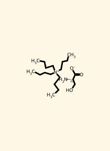 CCCC[N+](CCCC)(CCCC)CCCC.N[C@@H](CO)C(=O)[O-]